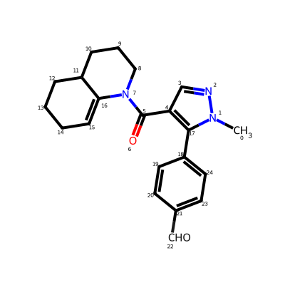 Cn1ncc(C(=O)N2CCCC3CCCC=C32)c1-c1ccc(C=O)cc1